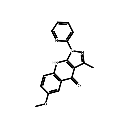 COc1ccc2[nH]c3c(c(C)nn3-c3ccccn3)c(=O)c2c1